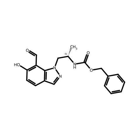 C[C@@H](Cn1ncc2ccc(O)c(C=O)c21)NC(=O)OCc1ccccc1